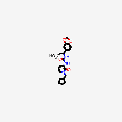 O=C(O)C[C@H](NC(=O)Nc1cccn(CC2CCCC2)c1=O)c1ccc2c(c1)OCO2